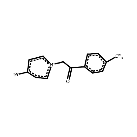 CC(C)c1cc[n+](CC(=O)c2ccc(C(F)(F)F)cc2)cc1